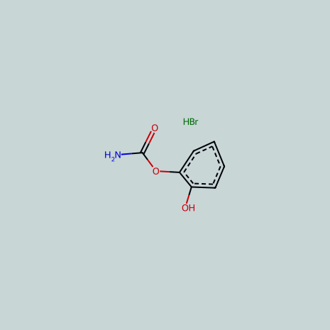 Br.NC(=O)Oc1ccccc1O